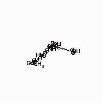 CN(C(=O)COCCOCCNC(=O)COCCOCCNC(=O)CC[C@H](NC(=O)CCCCCCCCCCCCCCCS(=O)(=O)O)C(=O)O)c1ccc(C=O)cc1